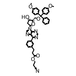 COc1ccc(C(OC[C@H]2O[C@@H](n3cnc4c(-c5cccc(CCC(=O)OCCC#N)c5)ncnc43)C[C@@H]2O)(c2ccccc2)c2ccc(OC)cc2)cc1